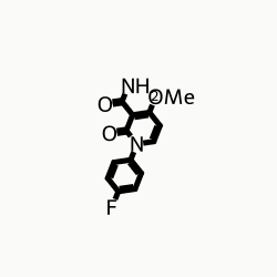 COc1ccn(-c2ccc(F)cc2)c(=O)c1C(N)=O